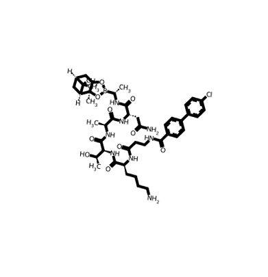 C[C@H](NC(=O)[C@H](CC(N)=O)NC(=O)[C@H](C)NC(=O)[C@@H](NC(=O)[C@H](CCCCN)NC(=O)CCNC(=O)c1ccc(-c2ccc(Cl)cc2)cc1)[C@@H](C)O)B1OC2C[C@@H]3C[C@@H](C3(C)C)[C@]2(C)O1